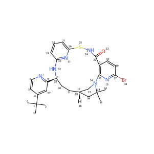 CC(C)(C)c1ccnc([C@@H]2CC[C@@H]3CN(c4nc(Br)ccc4C(=O)NSc4cccc(n4)N2)C(C)(C)C3)c1